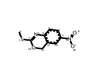 CSC1=Nc2ccc([N+](=O)[O-])cc2CO1